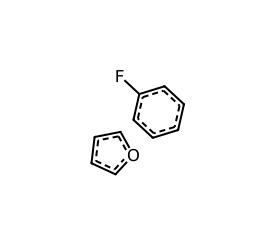 Fc1ccccc1.c1ccoc1